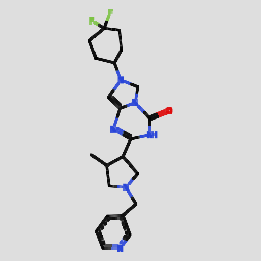 CC1CN(Cc2cccnc2)CC1C1=NC2=CN(C3CCC(F)(F)CC3)CN2C(=O)N1